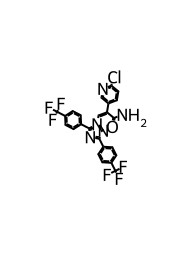 NC(=O)C(=Cn1nc(-c2ccc(C(F)(F)F)cc2)nc1-c1ccc(C(F)(F)F)cc1)c1ccc(Cl)nc1